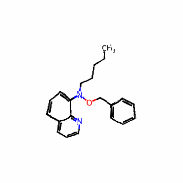 CCCCCN(OCc1ccccc1)c1cccc2cccnc12